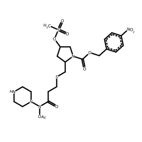 CC(=O)ON(C(=O)CCSCC1CC(OS(C)(=O)=O)CN1C(=O)OCc1ccc([N+](=O)[O-])cc1)N1CCNCC1